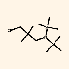 CC(C)(CCl)CN([Si](C)(C)C)[Si](C)(C)C